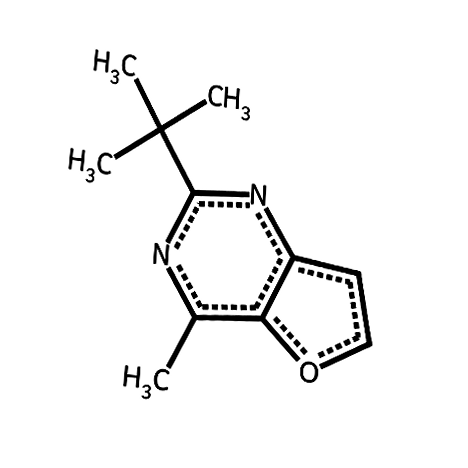 Cc1nc(C(C)(C)C)nc2ccoc12